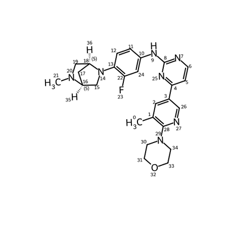 Cc1cc(-c2ccnc(Nc3ccc(N4C[C@@H]5C[C@H]4CN5C)c(F)c3)n2)cnc1N1CCOCC1